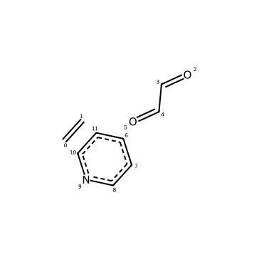 C=C.O=CC=O.c1ccncc1